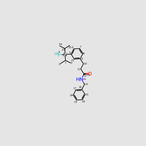 CC(C)[Si]([18F])(c1cccc(CCC(=O)NCc2ccccc2)c1)C(C)C